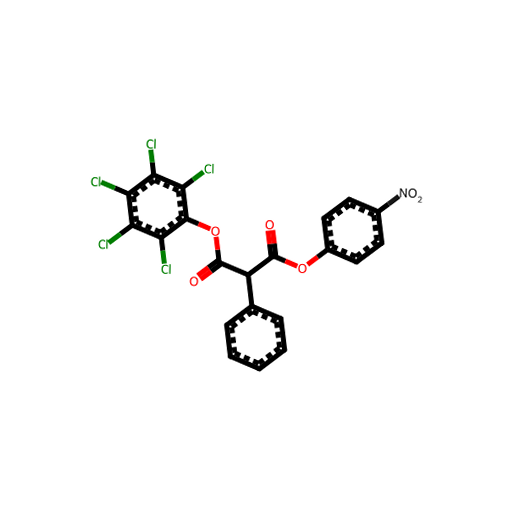 O=C(Oc1ccc([N+](=O)[O-])cc1)C(C(=O)Oc1c(Cl)c(Cl)c(Cl)c(Cl)c1Cl)c1ccccc1